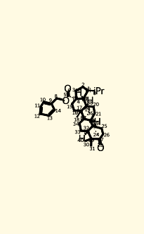 CC(C)[C@@H]1CC[C@]2(C(=O)OCc3ccccc3)CC[C@]3(C)[C@H](CC[C@@H]4[C@@]5(C)CCC(=O)C(C)(C)[C@@H]5CC[C@]43C)[C@@H]12